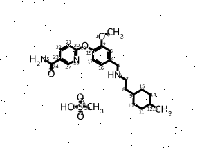 COc1cc(CNCCC2CCC(C)CC2)ccc1Oc1ccc(C(N)=O)cn1.CS(=O)(=O)O